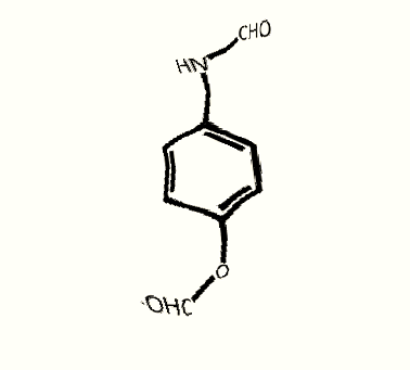 O=[C]Oc1ccc(NC=O)cc1